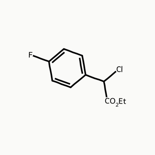 CCOC(=O)C(Cl)c1ccc(F)cc1